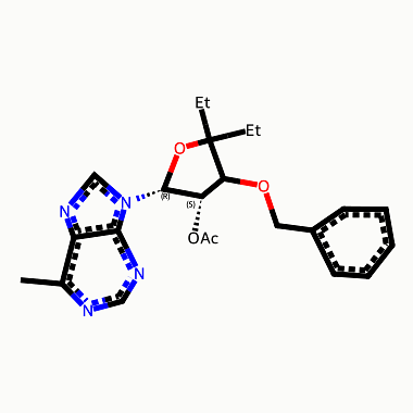 CCC1(CC)O[C@@H](n2cnc3c(C)ncnc32)[C@@H](OC(C)=O)C1OCc1ccccc1